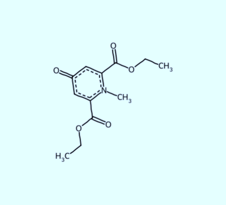 CCOC(=O)c1cc(=O)cc(C(=O)OCC)n1C